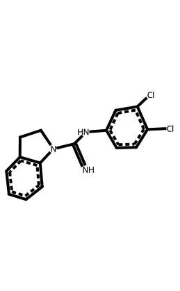 N=C(Nc1ccc(Cl)c(Cl)c1)N1CCc2ccccc21